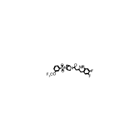 N[C@@H](CC(=O)N1CC2CC1CN2S(=O)(=O)c1cccc(OC(F)(F)F)c1)Cc1cc(F)c(F)cc1F